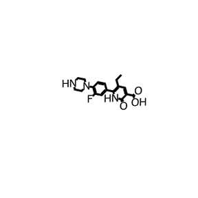 CCc1cc(C(=O)O)c(=O)[nH]c1-c1ccc(N2CCNCC2)c(F)c1